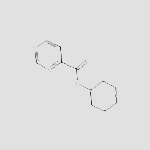 O=C(NC1CCCCC1)c1ccncn1